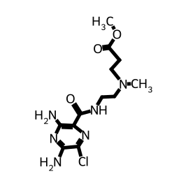 COC(=O)CCN(C)CCNC(=O)c1nc(Cl)c(N)nc1N